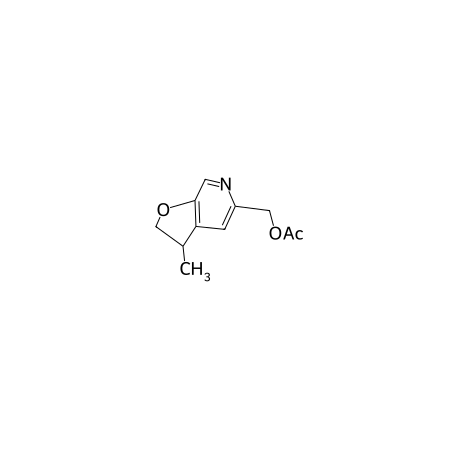 CC(=O)OCc1cc2c(cn1)OCC2C